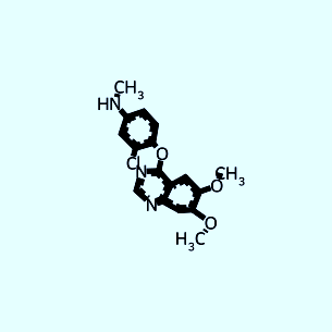 CNc1ccc(Oc2ncnc3cc(OC)c(OC)cc23)c(Cl)c1